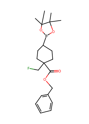 CC1(C)OB(C2CCC(CF)(C(=O)OCc3ccccc3)CC2)OC1(C)C